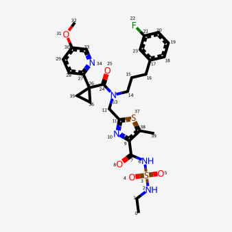 CCNS(=O)(=O)NC(=O)c1nc(CN(CCCc2cccc(F)c2)C(=O)C2(c3ccc(OC)cn3)CC2)sc1C